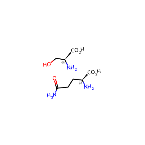 NC(=O)CC[C@H](N)C(=O)O.N[C@@H](CO)C(=O)O